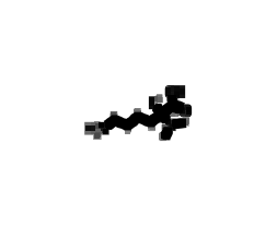 CN(C)C(F)(CCCCN)C(=O)O